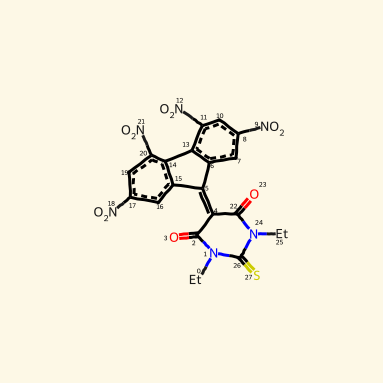 CCN1C(=O)C(=C2c3cc([N+](=O)[O-])cc([N+](=O)[O-])c3-c3c2cc([N+](=O)[O-])cc3[N+](=O)[O-])C(=O)N(CC)C1=S